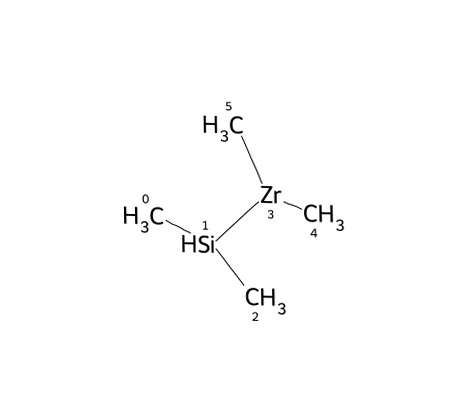 C[SiH](C)[Zr]([CH3])[CH3]